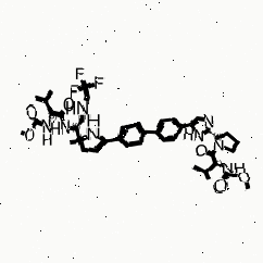 COC(=O)N[C@H](C(=O)N[C@@H](CNCC(F)(F)F)C1(C)CC=C(c2ccc(-c3ccc(-c4cnc([C@@H]5CCCN5C(=O)[C@@H](NC(=O)OC)C(C)C)[nH]4)cc3)cc2)N1)C(C)C